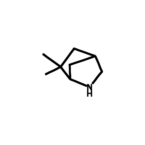 CC1(C)CC2CNC1C2